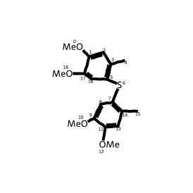 COc1cc(C)c(Sc2cc(OC)c(OC)cc2C)cc1OC